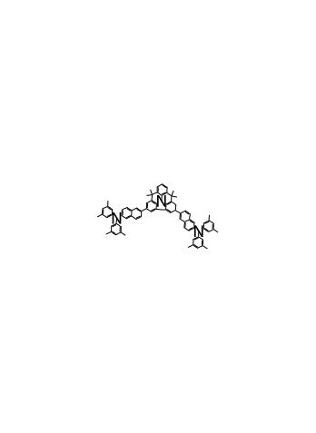 Cc1cc(C)cc(N(c2cc(C)cc(C)c2)c2ccc3cc(-c4cc5c6c(c4)c4c7n6-c6c(cccc6C5(C)C)C(C)(C)C=7CC(c5ccc6cc(N(c7cc(C)cc(C)c7)c7cc(C)cc(C)c7)ccc6c5)C=4)ccc3c2)c1